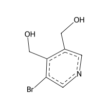 OCc1cncc(Br)c1CO